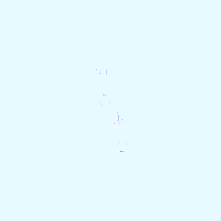 NC1CCC(c2ccc3c(c2)CC/C(=N/OCCc2ccccc2)C3)C1